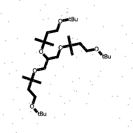 CC(C)(C)OCCC(C)(C)OCC(COC(C)(C)CCOC(C)(C)C)OC(C)(C)CCOC(C)(C)C